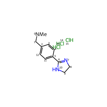 CNCc1ccc(C2=NCCN2)cc1.Cl.Cl.Cl